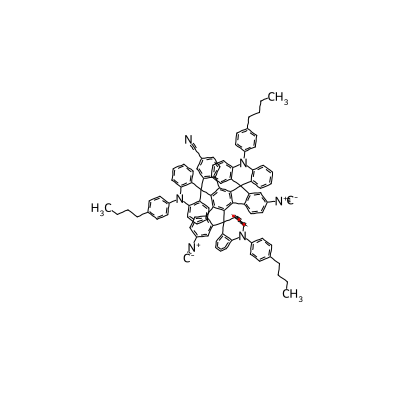 [C-]#[N+]c1ccc2c(c1)C1(c3ccccc3N(c3ccc(CCCC)cc3)c3ccccc31)c1c-2c2c(c3c1-c1ccc([N+]#[C-])cc1C31c3ccccc3N(c3ccc(CCCC)cc3)c3ccccc31)-c1ccc(C#N)cc1C21c2ccccc2N(c2ccc(CCCC)cc2)c2ccccc21